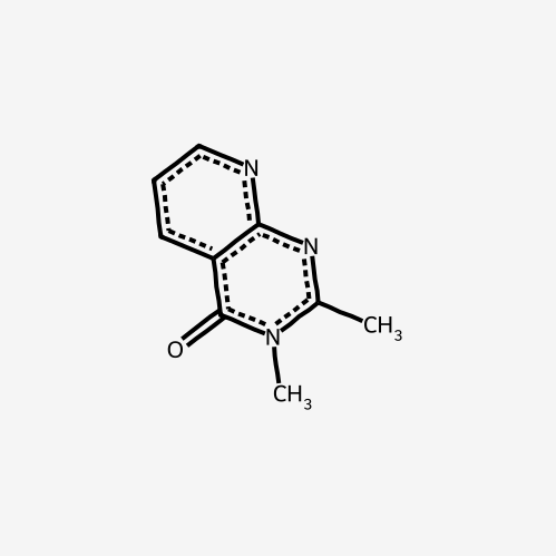 Cc1nc2ncccc2c(=O)n1C